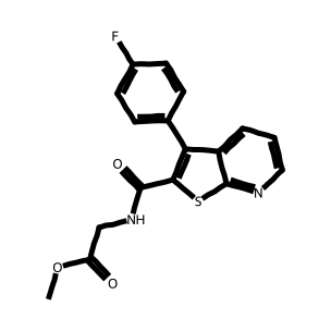 COC(=O)CNC(=O)c1sc2ncccc2c1-c1ccc(F)cc1